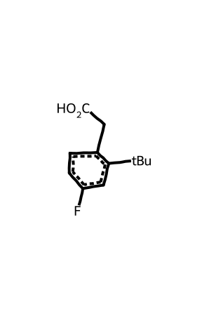 CC(C)(C)c1cc(F)ccc1CC(=O)O